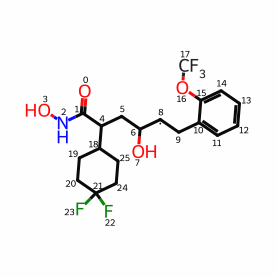 O=C(NO)C(CC(O)[CH]Cc1ccccc1OC(F)(F)F)C1CCC(F)(F)CC1